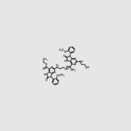 CCOC(=O)c1nc(NCCO)nc2c1[nH]c(=O)n2-c1ccccc1OC.COc1ccccc1-n1c(=O)[nH]c2c(C(N)=O)nc(NCCO)nc21